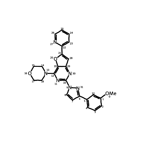 COc1cccc(-c2ccn(-c3nc(N4CCOCC4)c4oc(-c5ccccn5)cc4n3)n2)c1